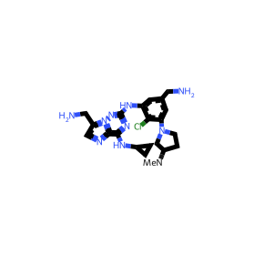 CNC1CCN(c2cc(CN)cc(Nc3nc(NC4CC4)c4ncc(CN)n4n3)c2Cl)C1